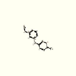 FC1C=CC(Oc2cccc(CBr)c2)=CC1